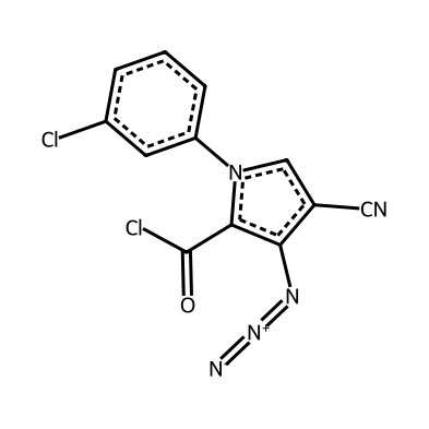 N#Cc1cn(-c2cccc(Cl)c2)c(C(=O)Cl)c1N=[N+]=[N-]